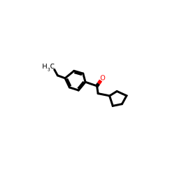 CCc1ccc(C(=O)CC2CCCC2)cc1